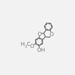 COc1cc2c(cc1O)C1COc3ccccc3C1O2